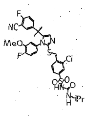 COc1cc(-n2c(C(C)(C)c3ccc(F)c(C#N)c3)cnc2SCc2ccc(S(=O)(=O)NC(=O)NC(C)C)cc2Cl)ccc1F